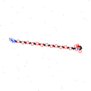 [N-]=[N+]=NCCOCCOCCOCCOCCOCCOCCOCCOCCOCCOCCOCCOCCC(=O)ON1C(=O)CCC1=O